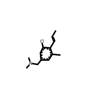 C/C=C/c1c(C)cc(CN(C)C)cc1Cl